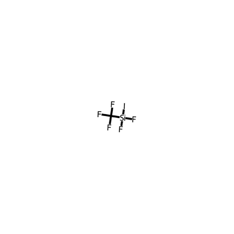 FC(F)(F)[Si](F)(F)I